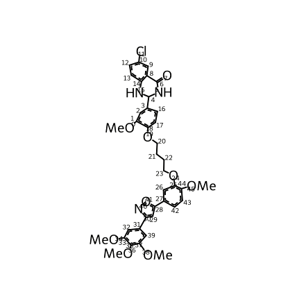 COc1cc(C2NC(=O)c3cc(Cl)ccc3N2)ccc1OCCCCOc1cc(-c2cc(-c3cc(OC)c(OC)c(OC)c3)no2)ccc1OC